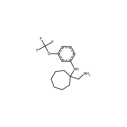 NCC1(Nc2cccc(OC(F)(F)F)c2)CCCCCC1